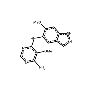 COc1cc2[nH]ncc2cc1Nc1ncnc(N)c1OC